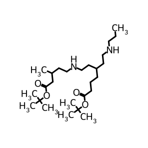 CCCNCCC(CCCC(=O)OC(C)(C)C)CCNCCC(C)CC(=O)OC(C)(C)C